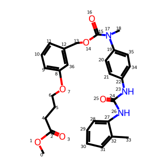 COC(=O)CCCOc1cccc(COC(=O)N(C)c2ccc(NC(=O)Nc3ccccc3C)cc2)c1